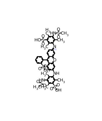 Cc1c(/N=c2\ccc3c(-c4ccccc4S(=O)(=O)O)c4ccc(Nc5c(C)c(NS(C)(=O)=O)c(C)c(S(=O)(=O)O)c5C)cc4oc-3c2)c(C)c(S(=O)(=O)O)c(C)c1NS(C)(=O)=O